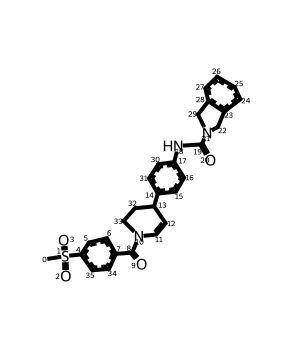 CS(=O)(=O)c1ccc(C(=O)N2C=CC(c3ccc(NC(=O)N4Cc5ccccc5C4)cc3)CC2)cc1